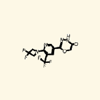 O=C1COC(c2cnc(N3CC(F)(F)C3)c(C(F)(F)F)c2)=NN1